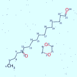 C1COCCO1.CCCCC(=O)CCCCCCCCCCCC=O